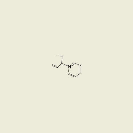 C=CC(CC)[n+]1ccccc1